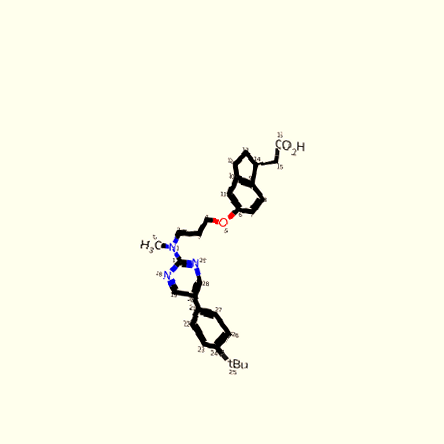 CN(CCCOc1ccc2c(c1)CC[C@H]2CC(=O)O)c1ncc(-c2ccc(C(C)(C)C)cc2)cn1